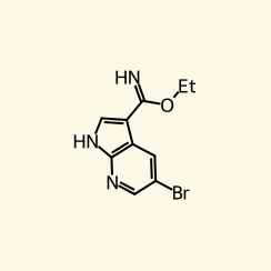 CCOC(=N)c1c[nH]c2ncc(Br)cc12